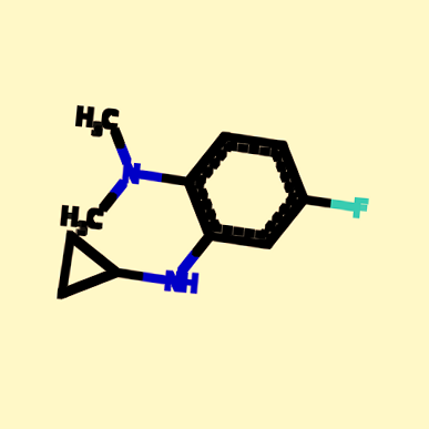 CN(C)c1ccc(F)cc1NC1CC1